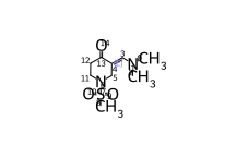 CN(C)/C=C1\CN(S(C)(=O)=O)CCC1=O